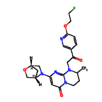 O=C(CN1c2nc(N3C[C@@H]4C[C@H]3CO4)cc(=O)n2CCC1C(F)(F)F)c1ccc(OCCF)nc1